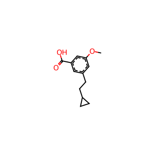 COc1cc(CCC2CC2)cc(C(=O)O)c1